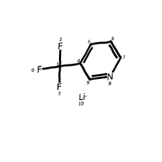 FC(F)(F)c1cccnc1.[Li]